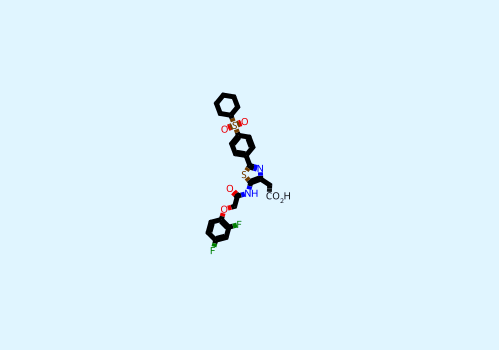 O=C(O)Cc1nc(-c2ccc(S(=O)(=O)C3CCCCC3)cc2)sc1NC(=O)COc1ccc(F)cc1F